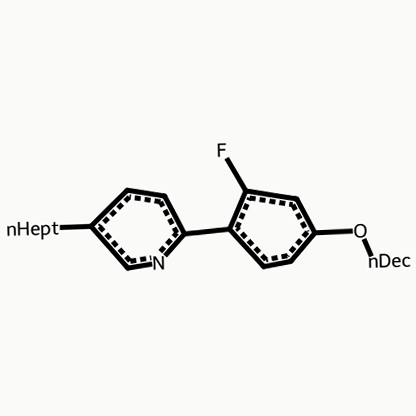 CCCCCCCCCCOc1ccc(-c2ccc(CCCCCCC)cn2)c(F)c1